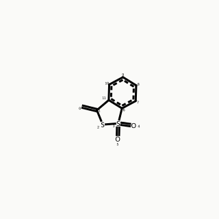 C=C1SS(=O)(=O)c2ccccc21